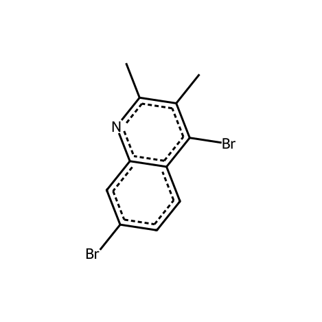 Cc1nc2cc(Br)ccc2c(Br)c1C